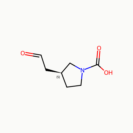 O=CC[C@@H]1CCN(C(=O)O)C1